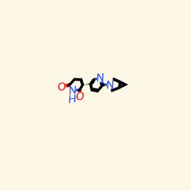 O=C1CC[C@H](c2ccc(N3CC4CC4C3)nc2)C(=O)N1